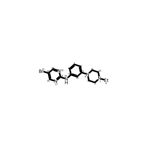 CCN1CCN(c2cccc(Nc3ncc(Br)cn3)c2)CC1